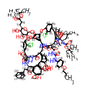 CCCOc1ccc(NC(=O)NC(=O)C[C@@H]2CC(=O)[C@H](NC(=O)[C@@H](CC(C)C)N(C)C(=O)OC(C)(C)C)[C@H](O)c3ccc(c(Cl)c3)Oc3cc4cc(c3O[C@@H]3O[C@H](CCC(=O)OC(C)(C)C)[C@@H](O)[C@H](O)[C@H]3O)Oc3ccc(cc3Cl)[C@@H](O)[C@@H]3NC(=O)[C@H](CC(=O)C4NC2=O)c2ccc(O)c(c2)-c2c(O)cc(O)cc2[C@@H](C(=O)CC2C4CC5CC(C4)CC2C5)NC3=O)cc1